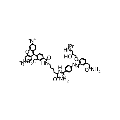 CC(C)NCC(O)COc1ccc(CC(N)=O)cc1/N=N/c1ccc(C(=O)NC(CCCCNC(=O)c2ccc(-c3c4ccc(=[N+](C)C)cc-4oc4cc(N(C)C)ccc34)c(C(=O)O)c2)C(N)=O)cc1